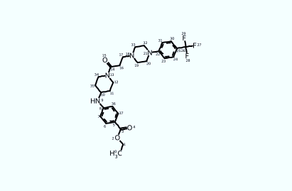 CCOC(=O)c1ccc(NC2CCN(C(=O)CCN3CCN(c4ccc(C(F)(F)F)cc4)CC3)CC2)cc1